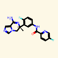 C[C@@]1(c2cc(NC(=O)c3ccc(F)cn3)ccc2F)Cn2cncc2C(N)=N1